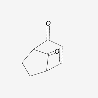 O=C1C=CC2CCC1C2=O